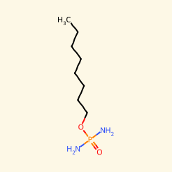 CCCCCCCCOP(N)(N)=O